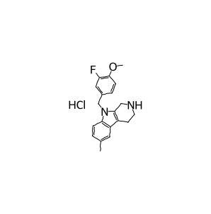 COc1ccc(Cn2c3c(c4cc(C)ccc42)CCNC3)cc1F.Cl